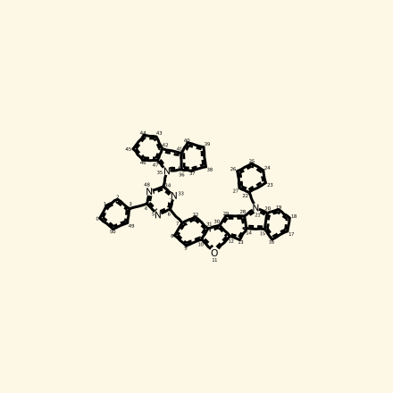 c1ccc(-c2nc(-c3ccc4oc5cc6c7ccccc7n(-c7ccccc7)c6cc5c4c3)nc(-n3c4ccccc4c4ccccc43)n2)cc1